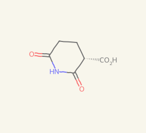 O=C1CC[C@H](C(=O)O)C(=O)N1